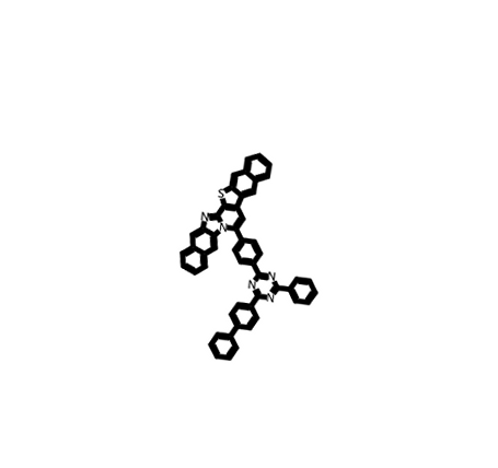 c1ccc(-c2ccc(-c3nc(-c4ccccc4)nc(-c4ccc(-c5cc6c7cc8ccccc8cc7sc6c6nc7cc8ccccc8cc7n56)cc4)n3)cc2)cc1